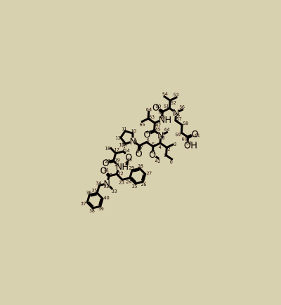 CCC(C)C(C(CC(=O)N1CCC[C@H]1C(OC)C(C)C(=O)NC(Cc1ccccc1)C(=O)N(C)Cc1ccccc1)OC)N(C)C(=O)C(NC(=O)C(C(C)C)N(C)CCCC(=O)O)C(C)C